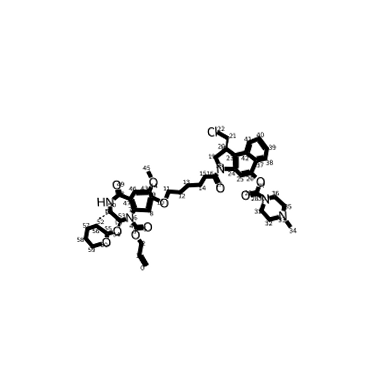 C=CCOC(=O)N1c2cc(OCCCCCC(=O)N3C[C@@H](CCl)c4c3cc(OC(=O)N3CCN(C)CC3)c3ccccc43)c(OC)cc2C(=O)N[C@@H](C)[C@@H]1OC1CCCCO1